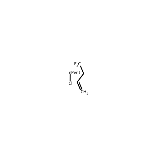 C=CCC(F)(F)F.CCCCCCl